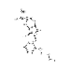 CCCCOc1ccccc1C=C1Oc2ccc(C(=O)O)cc2C1=O